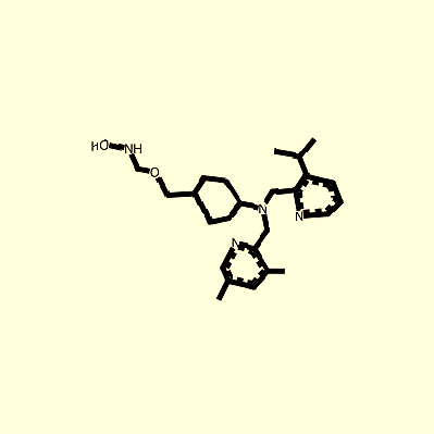 Cc1cnc(CN(Cc2ncccc2C(C)C)C2CCC(COCNO)CC2)c(C)c1